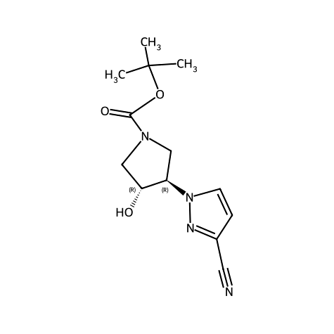 CC(C)(C)OC(=O)N1C[C@@H](O)[C@H](n2ccc(C#N)n2)C1